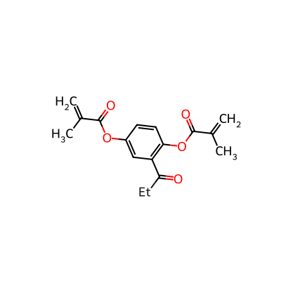 C=C(C)C(=O)Oc1ccc(OC(=O)C(=C)C)c(C(=O)CC)c1